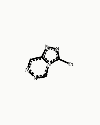 CCc1nnc2cnncn12